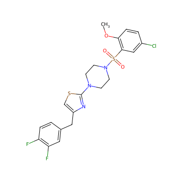 COc1ccc(Cl)cc1S(=O)(=O)N1CCN(c2nc(Cc3ccc(F)c(F)c3)cs2)CC1